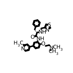 Cc1cc(-c2ccc(OCCN(C)C)c(NC(=O)[C@H](Cc3ccccc3)NCc3cscn3)c2)ccn1